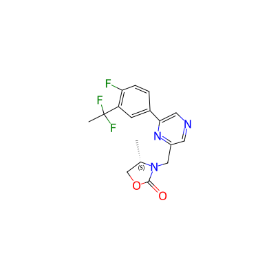 C[C@H]1COC(=O)N1Cc1cncc(-c2ccc(F)c(C(C)(F)F)c2)n1